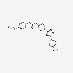 COc1ccc(CC(=O)Cc2ccc(-c3noc(-c4ccc(O)cc4)n3)cc2)cc1